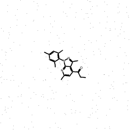 CCC(=O)c1cc(C)nc2c1c(C)nn2-c1c(C)cc(C)cc1C